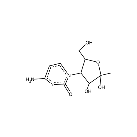 CC1(O)OC(CO)C(n2ccc(N)nc2=O)C1O